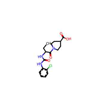 CCC(NC(=O)Nc1ccccc1Cl)C(=O)N1CCC(C(=O)O)CC1